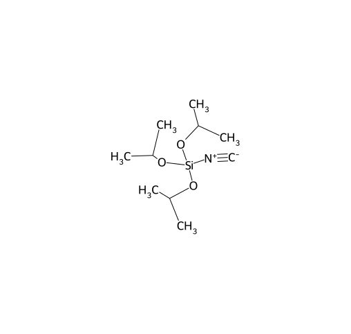 [C-]#[N+][Si](OC(C)C)(OC(C)C)OC(C)C